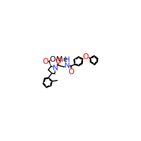 COC(=O)[C@@H]1CC(c2ccccc2C)CN1C(=O)CNC(=O)c1ccc(Oc2ccccc2)cc1